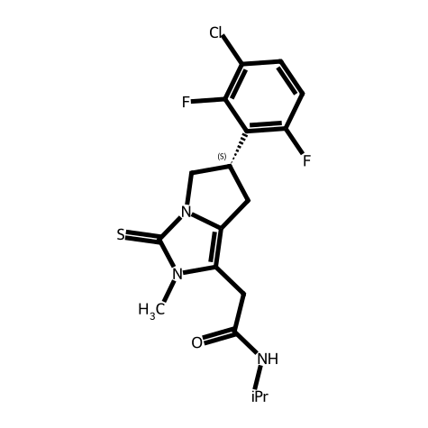 CC(C)NC(=O)Cc1c2n(c(=S)n1C)C[C@H](c1c(F)ccc(Cl)c1F)C2